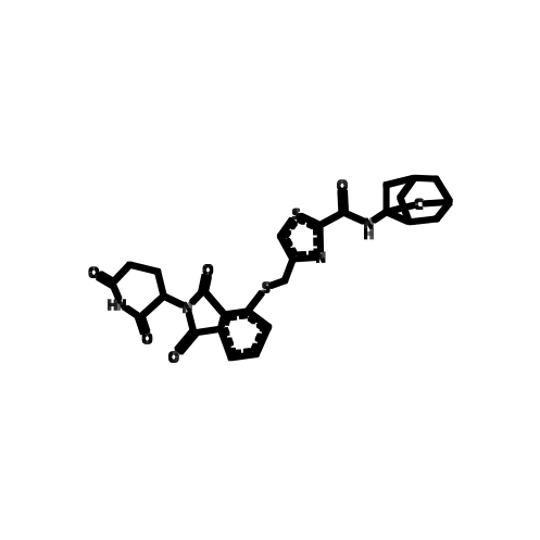 O=C1CCC(N2C(=O)c3cccc(SCc4csc(C(=O)NC56CC7CC(CC5C7)C6)n4)c3C2=O)C(=O)N1